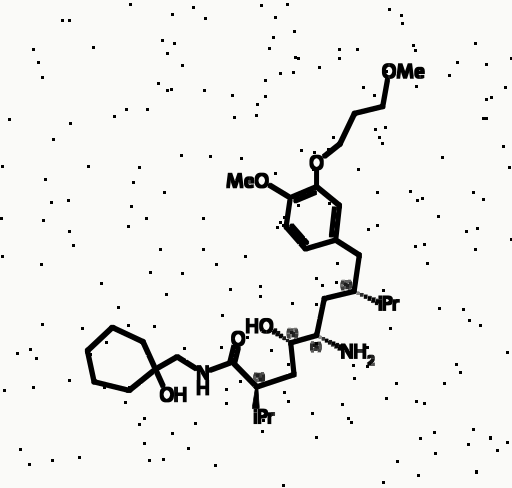 COCCCOc1cc(C[C@@H](C[C@H](N)[C@@H](O)C[C@H](C(=O)NCC2(O)CCCCC2)C(C)C)C(C)C)ccc1OC